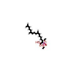 CCOP(=O)(OCC)C(CCCCC=C(C)CCC=C(C)CCC=C(C)C)C(=O)O